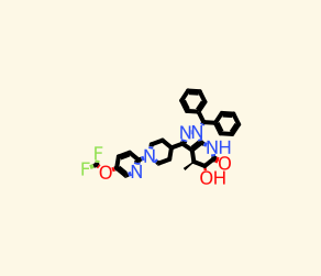 C[C@H]1c2c(C3CCN(c4ccc(OC(F)F)cn4)CC3)nn(C(c3ccccc3)c3ccccc3)c2NC(=O)[C@H]1O